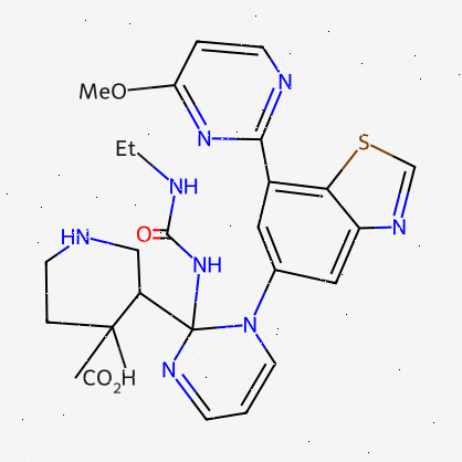 CCNC(=O)NC1(C2CNCCC2(C)C(=O)O)N=CC=CN1c1cc(-c2nccc(OC)n2)c2scnc2c1